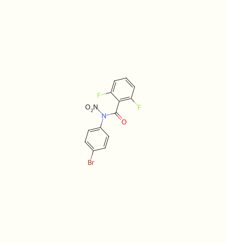 O=C(c1c(F)cccc1F)N(c1ccc(Br)cc1)[N+](=O)[O-]